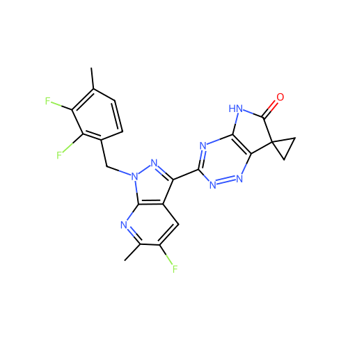 Cc1ccc(Cn2nc(-c3nnc4c(n3)NC(=O)C43CC3)c3cc(F)c(C)nc32)c(F)c1F